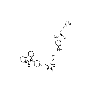 CNCCCN(C(=O)c1ccc(NCCCCCC(=O)N(C)CCN2CCC(N(C(=O)O)c3ccccc3-c3ccccc3)CC2)cc1)C1CC1